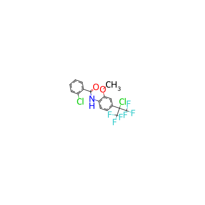 COc1cc(C(Cl)(C(F)(F)F)C(F)(F)F)ccc1NC(=O)c1ccccc1Cl